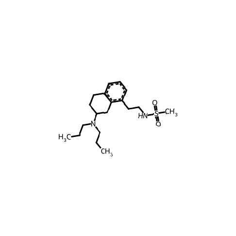 CCCN(CCC)C1CCc2cccc(CCNS(C)(=O)=O)c2C1